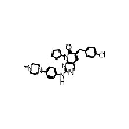 CN1CCN(c2ccc(Nc3ncc4cc(Cc5ccc(Cl)cc5)c(=O)n(C5CCCC5)c4n3)cc2)CC1